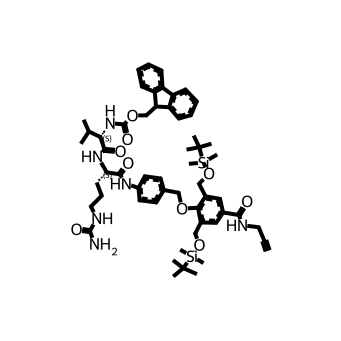 C#CCNC(=O)c1cc(CO[Si](C)(C)C(C)(C)C)c(OCc2ccc(NC(=O)[C@H](CCCNC(N)=O)NC(=O)[C@@H](NC(=O)OCC3c4ccccc4-c4ccccc43)C(C)C)cc2)c(CO[Si](C)(C)C(C)(C)C)c1